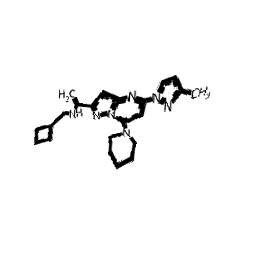 C=C(NCC1CCC1)c1cc2nc(-n3ccc(C)n3)cc(N3CCCCC3)n2n1